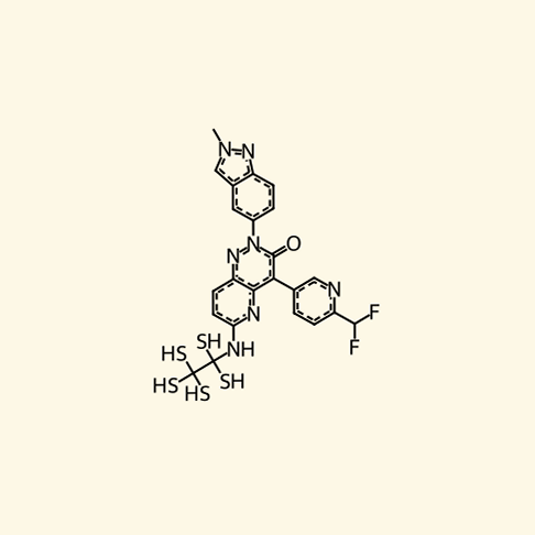 Cn1cc2cc(-n3nc4ccc(NC(S)(S)C(S)(S)S)nc4c(-c4ccc(C(F)F)nc4)c3=O)ccc2n1